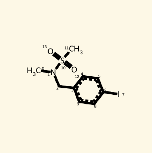 CN(Cc1ccc(I)cc1)S(C)(=O)=O